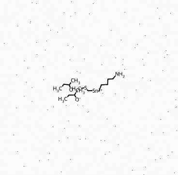 CCC(C)[O-].CCC(C)[O-].CS[CH2][Sn+2][CH2]CCCCN